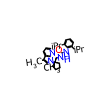 Cc1c(C)n(C2(CNC(=O)Nc3c(C(C)C)cccc3C(C)C)CCCC2)c2ncccc12